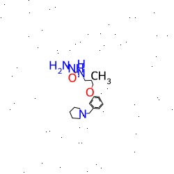 CC(CNC(=O)NN)COc1cccc(CN2CCCCC2)c1